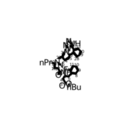 CCCCOC(=O)CC(Cc1ccccc1F)NC(=O)c1cc(CCC)n(Cc2ccc(-c3ccccc3-c3nnn[nH]3)nc2)n1